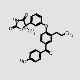 CCCc1cc(C(=O)c2ccc(O)cc2)ccc1Oc1cccc([C@@]2(C)OC(=O)NC2=O)c1